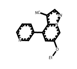 CCOc1cc(-c2cccnc2)c2c(C#N)cnn2c1